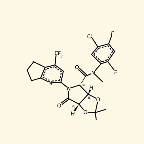 CN(C(=O)[C@@H]1[C@@H]2OC(C)(C)O[C@@H]2C(=O)N1c1cc(C(F)(F)F)c2c(n1)CCC2)c1cc(Cl)c(F)cc1F